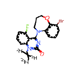 [2H]C([2H])([2H])n1c(=O)nc(N2CCCOc3c(Br)cccc32)c2c(F)cccc21